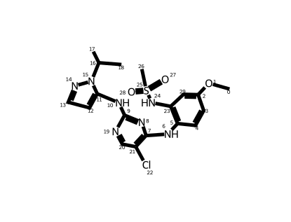 COc1ccc(Nc2nc(Nc3ccnn3C(C)C)ncc2Cl)c(NS(C)(=O)=O)c1